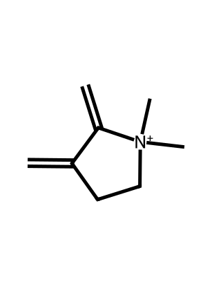 C=C1CC[N+](C)(C)C1=C